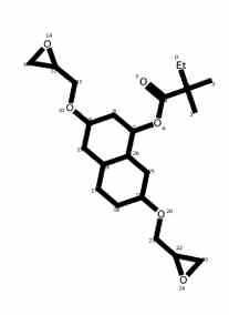 CCC(C)(C)C(=O)OC1CC(OCC2CO2)CC2CCC(OCC3CO3)CC21